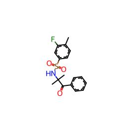 Cc1ccc(S(=O)(=O)NC(C)(C)C(=O)c2ccccc2)cc1F